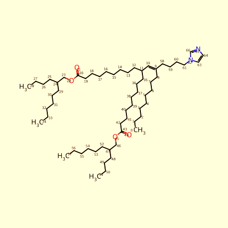 CCCCCCCCC/C(=C\C(CCCCCCCCC(=O)OCC(CCCC)CCCCCC)CCCCCCCCC(=O)OCC(CCCC)CCCCCC)CCCCn1ccnc1